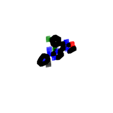 CN1C2CC[C@@H]1CC(Nc1nccc(-c3c(-c4ccc(F)cc4F)nc4occn34)n1)C2